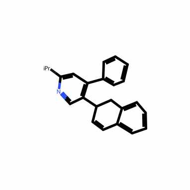 CC(C)c1cc(-c2ccccc2)c(C2C=Cc3ccccc3C2)cn1